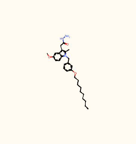 CCCCCCCCCCOc1cccc(Cn2c(C)c(CC(=O)NN)c3cc(OC)ccc32)c1